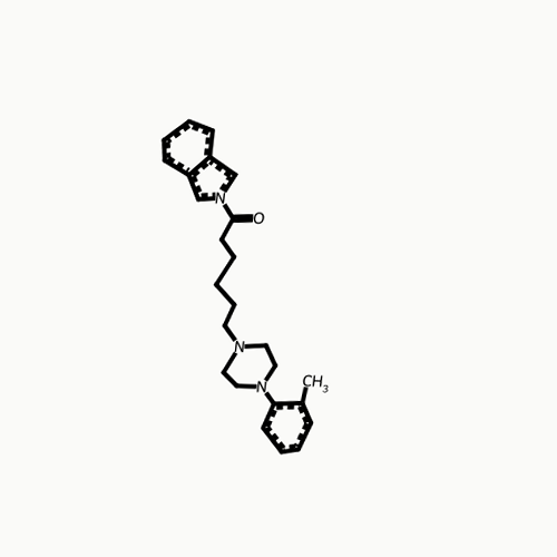 Cc1ccccc1N1CCN(CCCCCC(=O)n2cc3ccccc3c2)CC1